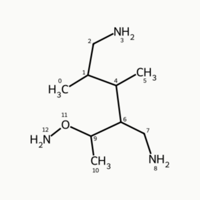 CC(CN)C(C)C(CN)C(C)ON